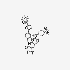 CC1(C)OB(c2ccc(-c3ccc(Cn4c(=O)c(C(F)F)cc5cnc(NC6CCN(S(C)(=O)=O)CC6)nc54)cc3)o2)OC1(C)C